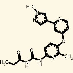 CCC(=O)NC(=O)Nc1ccc(Oc2ccnc(-c3cnn(C)c3)c2)c(C)n1